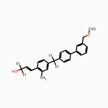 CCC(O)(/C=C/c1ccc(C(CC)(CC)c2ccc(-c3cccc(COC=O)c3)cc2)cc1C)CC